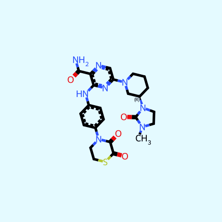 CN1CCN([C@@H]2CCCN(c3cnc(C(N)=O)c(Nc4ccc(N5CCSC(=O)C5=O)cc4)n3)C2)C1=O